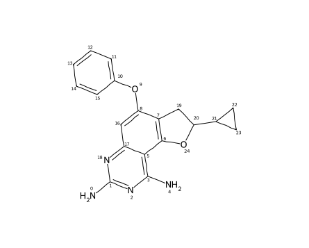 Nc1nc(N)c2c3c(c(Oc4ccccc4)cc2n1)CC(C1CC1)O3